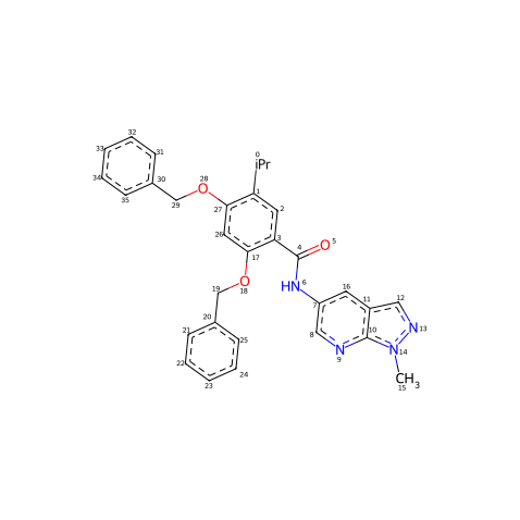 CC(C)c1cc(C(=O)Nc2cnc3c(cnn3C)c2)c(OCc2ccccc2)cc1OCc1ccccc1